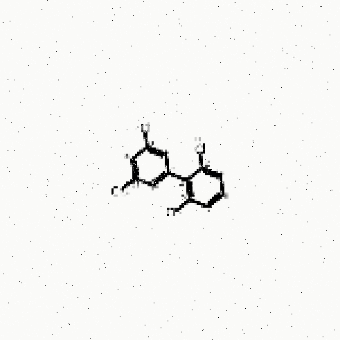 Clc1[c]c(-c2c(Cl)cccc2Cl)cc(Cl)c1